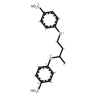 CC(CCOc1ccc(C(=O)O)cc1)Oc1ccc(C(=O)O)cc1